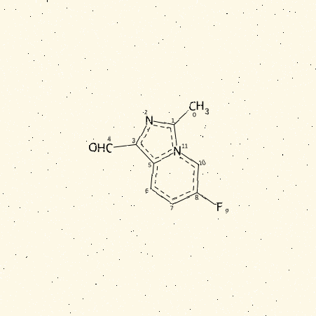 Cc1nc(C=O)c2ccc(F)cn12